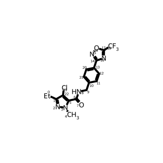 CCc1nn(C)c(C(=O)NCc2ccc(-c3noc(C(F)(F)F)n3)cc2)c1Cl